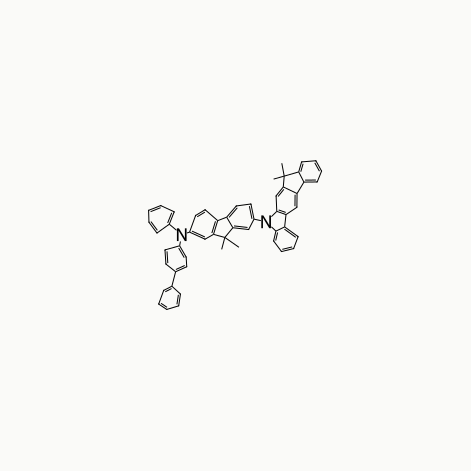 CC1(C)c2cc(N(c3ccccc3)c3ccc(-c4ccccc4)cc3)ccc2-c2ccc(-n3c4ccccc4c4cc5c(cc43)C(C)(C)c3ccccc3-5)cc21